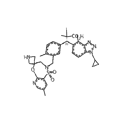 Cc1cnc2c(c1)S(=O)(=O)N(Cc1cc([C@@H](c3ccc4c(nnn4C4CC4)c3C)C(C)(C)C(=O)O)ccc1C)CC1(CNC1)O2